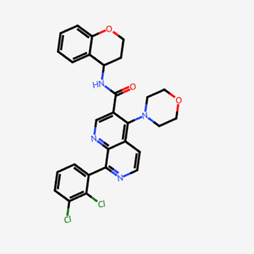 O=C(NC1CCOc2ccccc21)c1cnc2c(-c3cccc(Cl)c3Cl)nccc2c1N1CCOCC1